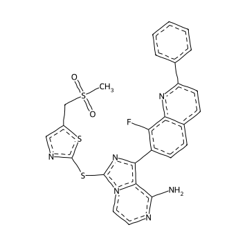 CS(=O)(=O)Cc1cnc(Sc2nc(-c3ccc4ccc(-c5ccccc5)nc4c3F)c3c(N)nccn23)s1